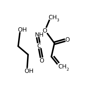 C=CC(=O)OC.N=C=O.OCCO